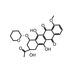 COc1cccc2c1C(=O)c1c(O)c3c(c(O)c1C2=O)C[C@@](O)(C(C)=O)CC3O[C@H]1CCCCO1